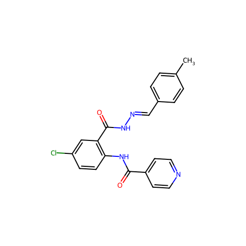 Cc1ccc(/C=N/NC(=O)c2cc(Cl)ccc2NC(=O)c2ccncc2)cc1